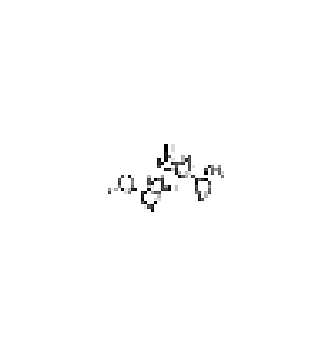 Cc1ccncc1-c1cnc2[nH]nc(-c3nc4c(-c5cccc(F)c5)cncc4[nH]3)c2c1